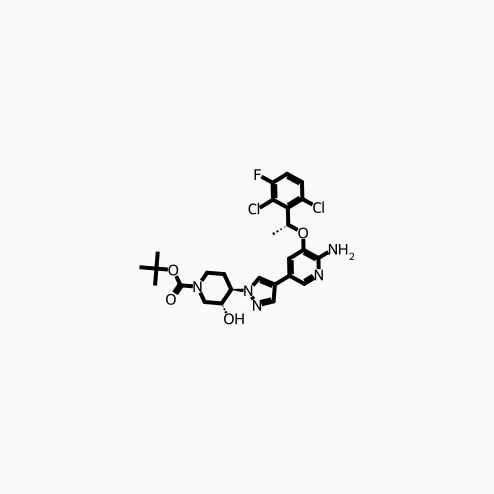 C[C@@H](Oc1cc(-c2cnn([C@@H]3CCN(C(=O)OC(C)(C)C)C[C@H]3O)c2)cnc1N)c1c(Cl)ccc(F)c1Cl